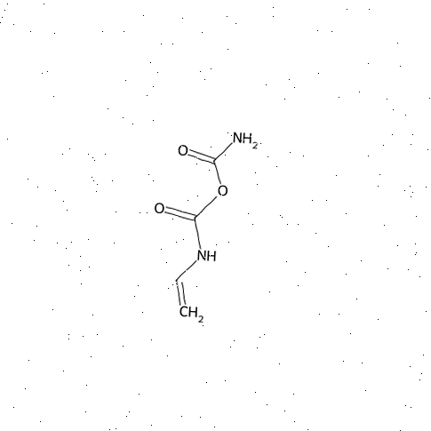 C=CNC(=O)OC(N)=O